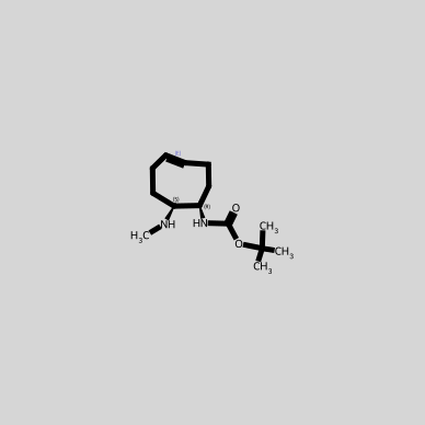 CN[C@H]1CC/C=C/CC[C@H]1NC(=O)OC(C)(C)C